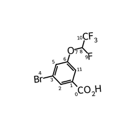 O=C(O)c1cc(Br)cc(OC(F)C(F)(F)F)c1